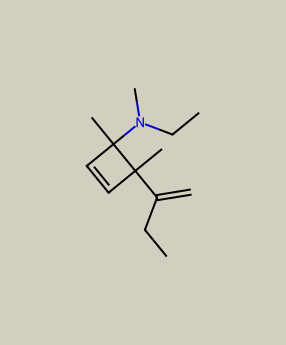 C=C(CC)C1(C)C=CC1(C)N(C)CC